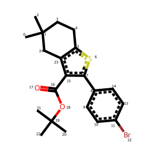 CC1(C)CCc2sc(-c3ccc(Br)cc3)c(C(=O)OC(C)(C)C)c2C1